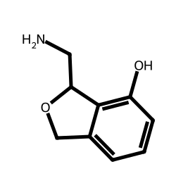 NCC1OCc2cccc(O)c21